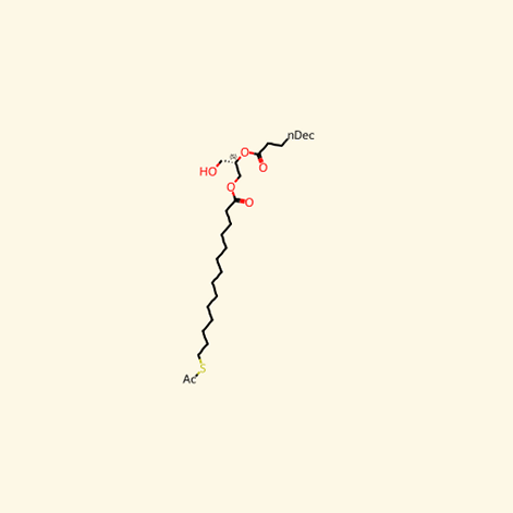 CCCCCCCCCCCCC(=O)O[C@@H](CO)COC(=O)CCCCCCCCCCCCCSC(C)=O